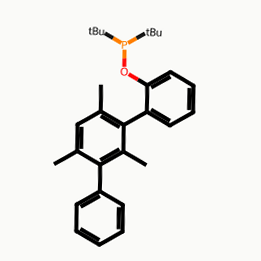 Cc1cc(C)c(-c2ccccc2OP(C(C)(C)C)C(C)(C)C)c(C)c1-c1ccccc1